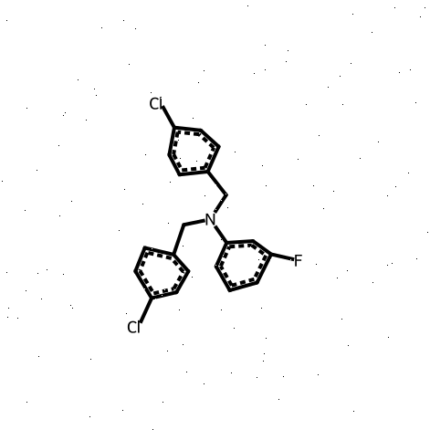 Fc1cccc(N(Cc2ccc(Cl)cc2)Cc2ccc(Cl)cc2)c1